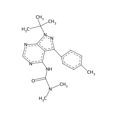 Cc1ccc(-c2nn(C(C)(C)C)c3ncnc(NC(=O)N(C)C)c23)cc1